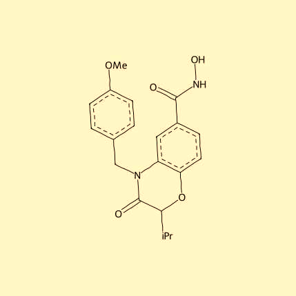 COc1ccc(CN2C(=O)C(C(C)C)Oc3ccc(C(=O)NO)cc32)cc1